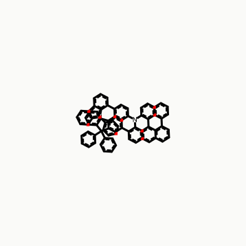 c1ccc(-c2cccc3cccc(-c4ccccc4N(c4ccc(-c5cccc6c7ccccc7n(-c7ccccc7)c56)cc4)c4ccccc4-c4ccc5c(c4)C(c4ccccc4)(c4ccccc4)c4ccccc4-5)c23)cc1